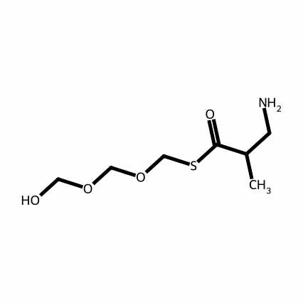 CC(CN)C(=O)SCOCOCO